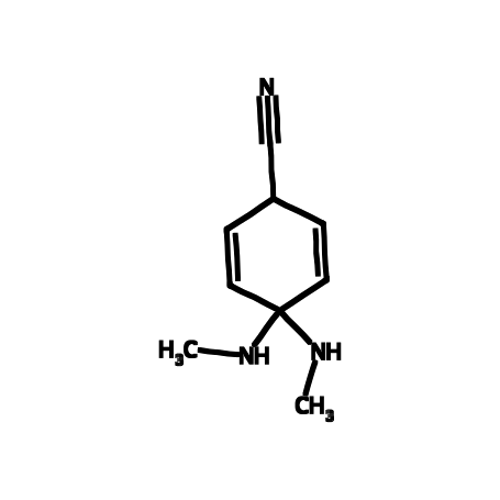 CNC1(NC)C=CC(C#N)C=C1